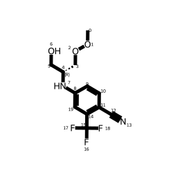 COOC[C@@H](CO)Nc1ccc(C#N)c(C(F)(F)F)c1